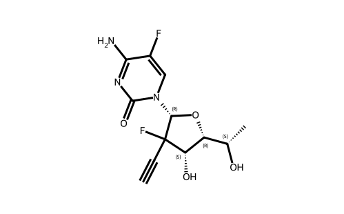 C#CC1(F)[C@@H](O)[C@@H]([C@H](C)O)O[C@H]1n1cc(F)c(N)nc1=O